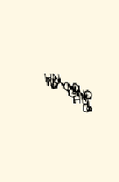 O=C(NCc1ccco1)N1CC(S(=O)(=O)N2CCC(c3c[nH]c4ncccc34)CC2)C1